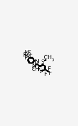 CCSc1cc(C(F)(F)F)cnc1-c1nc2cc(S(F)(F)(F)(F)F)ccc2n1C